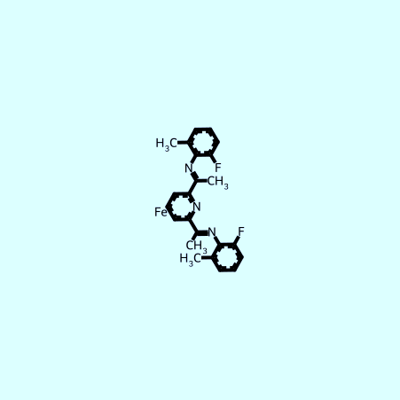 CC(=Nc1c(C)cccc1F)c1cccc(C(C)=Nc2c(C)cccc2F)n1.[Fe]